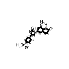 Cc1cc(-n2cc(-c3ccc([S+](C)[O-])cc3)nc2C)cc2ccc(=O)[nH]c12